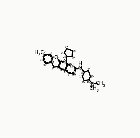 Cc1ccc(Cc2cc3cnc(NC4CCC(N(C)C)CC4)nc3n(C3CCCC3)c2=O)cc1